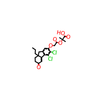 CCCC12CCC(=O)C=C1c1c(cc(OCC(=O)OC(C)(C)C(=O)O)c(Cl)c1Cl)C2